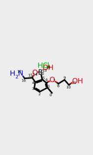 Cc1ccc2c(c1OCCCO)B(O)OC2CN.Cl